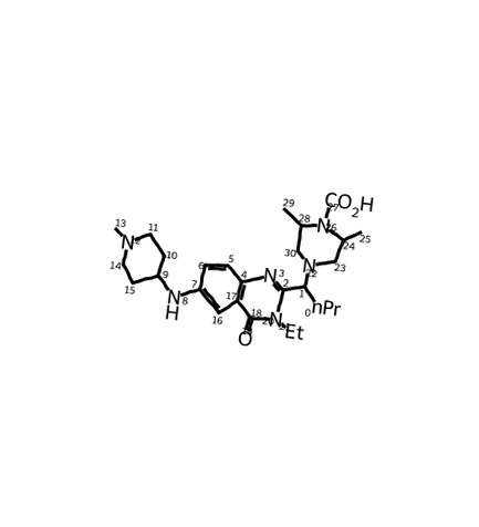 CCCC(c1nc2ccc(NC3CCN(C)CC3)cc2c(=O)n1CC)N1CC(C)N(C(=O)O)C(C)C1